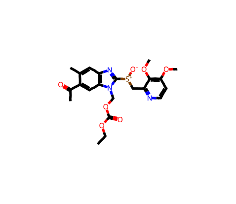 CCOC(=O)OCn1c([S+]([O-])Cc2nccc(OC)c2OC)nc2cc(C)c(C(C)=O)cc21